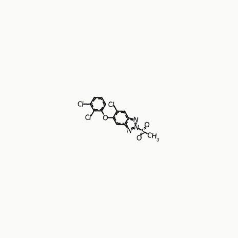 CS(=O)(=O)n1nc2cc(Cl)c(Oc3cccc(Cl)c3Cl)cc2n1